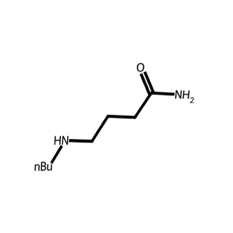 CCCCNCCCC(N)=O